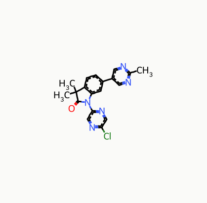 Cc1ncc(-c2ccc3c(c2)N(c2cnc(Cl)cn2)C(=O)C3(C)C)cn1